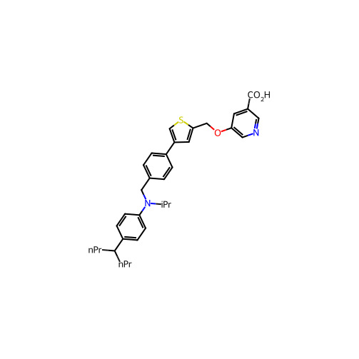 CCCC(CCC)c1ccc(N(Cc2ccc(-c3csc(COc4cncc(C(=O)O)c4)c3)cc2)C(C)C)cc1